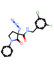 [N-]=[N+]=N[C@]1(C(=O)NCc2cc(F)cc(Cl)c2)CCN(c2ccccc2)C1=O